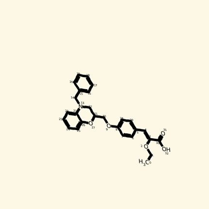 CCO/C(=C\c1ccc(OCC2CN(Cc3ccccc3)c3ccccc3O2)cc1)C(=O)O